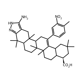 Cc1ccc(C2=C3C4CC(C)(C)C[C@@H](C(=O)O)C4CCC3(C)C3(C)CCC4C(C)(C)c5n[nH]c(N)c5CC4(C)C3C2)cc1[N+](=O)[O-]